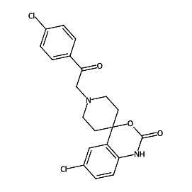 O=C1Nc2ccc(Cl)cc2C2(CCN(CC(=O)c3ccc(Cl)cc3)CC2)O1